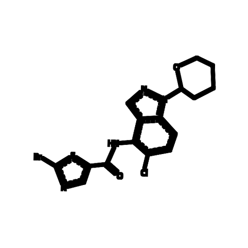 O=C(Nc1c(Cl)ccc2c1cnn2C1CCCCO1)c1cnc(Br)s1